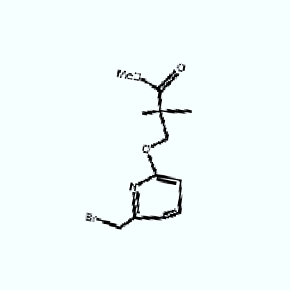 COC(=O)C(C)(C)COc1cccc(CBr)n1